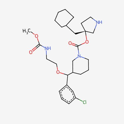 COC(=O)NCCOC(c1cccc(Cl)c1)C1CCCN(C(=O)O[C@]2(CC3CCCCC3)CCNC2)C1